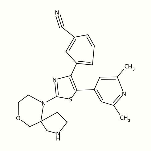 Cc1cc(-c2sc(N3CCOCC34CCNC4)nc2-c2cccc(C#N)c2)cc(C)n1